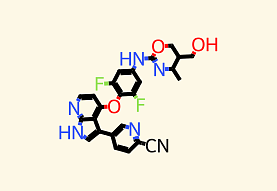 CC1N=C(Nc2cc(F)c(Oc3ccnc4[nH]cc(-c5ccc(C#N)nc5)c34)c(F)c2)OCC1CO